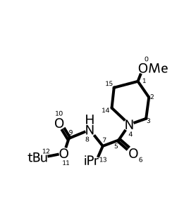 COC1CCN(C(=O)C(NC(=O)OC(C)(C)C)C(C)C)CC1